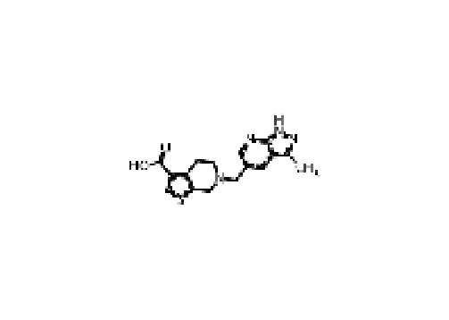 Cc1n[nH]c2ncc(CN3CCc4c(C(=O)O)csc4C3)cc12